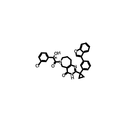 O=C([C@H](O)c1cccc(Cl)c1)N1CCCc2nc(C3(c4cccc(-c5coc6ccccc56)c4)CC3)[nH]c(=O)c2C1